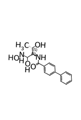 C[C@H](O)[C@@H](NC(=O)c1ccc(-c2ccccc2)cc1)C(O)NO